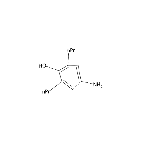 CCCc1cc(N)cc(CCC)c1O